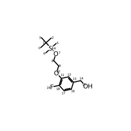 CC(C)(C)[Si](C)(C)OCCOc1cc(CO)ccc1F